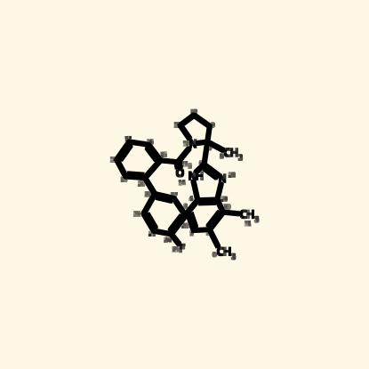 Cc1ccc2[nH]c(C3(C)CCCN3C(=O)c3ccccc3-c3ccc(F)cc3)nc2c1C